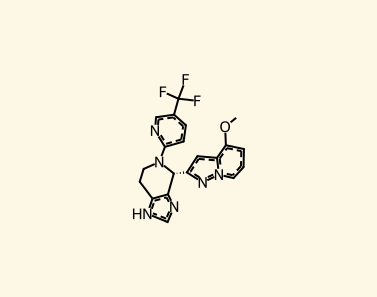 COc1cccn2nc([C@@H]3c4nc[nH]c4CCN3c3ccc(C(F)(F)F)cn3)cc12